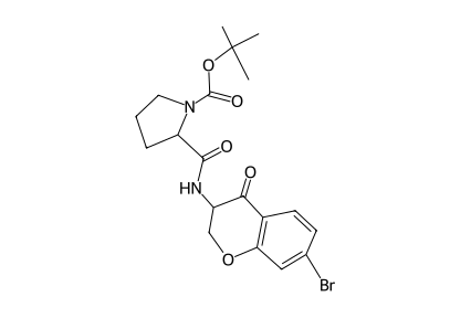 CC(C)(C)OC(=O)N1CCCC1C(=O)NC1COc2cc(Br)ccc2C1=O